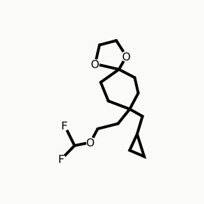 FC(F)OCCC1(CC2CC2)CCC2(CC1)OCCO2